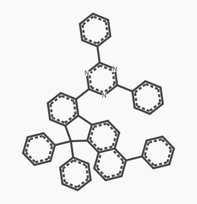 c1ccc(-c2nc(-c3ccccc3)nc(-c3cccc4c3-c3ccc5c(-c6ccccc6)cccc5c3C4(c3ccccc3)c3ccccc3)n2)cc1